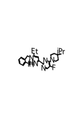 CC/C(=C/C(=N)c1ncc(F)c(N2CCC(C)(C(C)C)CC2)n1)NCc1ccccc1F